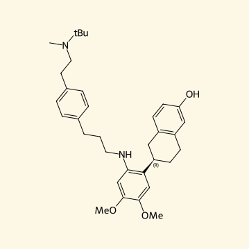 COc1cc(NCCCc2ccc(CCN(C)C(C)(C)C)cc2)c([C@@H]2CCc3cc(O)ccc3C2)cc1OC